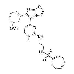 COC1C=CC=C(c2nc3occn3c2C2=CCNC(NCCNS(=O)(=O)C3=CCC=CC=C3)=N2)C1